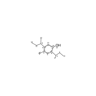 CCC(C)c1cc(F)c(C(C)CC)cc1O